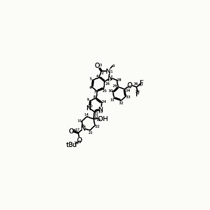 Cn1c(=O)c2ccc(-c3cnc(C4(O)CCN(C(=O)OC(C)(C)C)CC4)nc3)cc2n1Cc1ccccc1OC(F)F